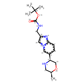 C[C@H]1CN[C@@H](c2ccc3nc(CNC(=O)OC(C)(C)C)cn3c2)CO1